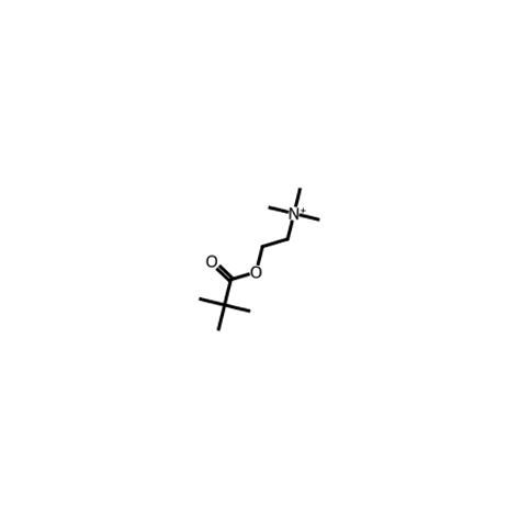 CC(C)(C)C(=O)OCC[N+](C)(C)C